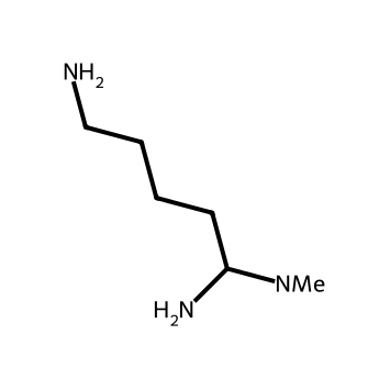 CNC(N)CCCCN